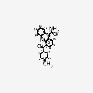 CN1CCC(C(=O)c2cccc(N(C(N)=O)c3ccccc3[N+](=O)[O-])c2)CC1